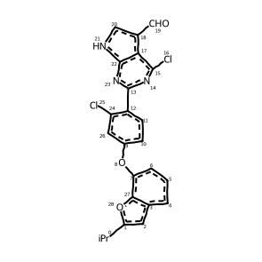 CC(C)c1cc2cccc(Oc3ccc(-c4nc(Cl)c5c(C=O)c[nH]c5n4)c(Cl)c3)c2o1